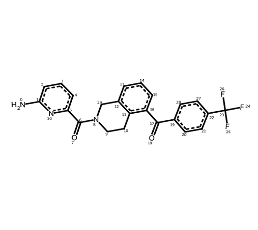 Nc1cccc(C(=O)N2CCc3c(cccc3C(=O)c3ccc(C(F)(F)F)cc3)C2)n1